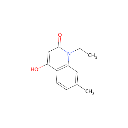 CCn1c(=O)cc(O)c2ccc(C)cc21